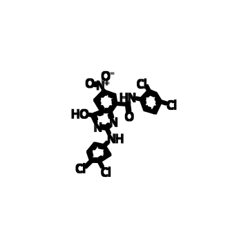 O=C(Nc1ccc(Cl)cc1Cl)c1cc([N+](=O)[O-])cc2c(O)nc(Nc3ccc(Cl)c(Cl)c3)nc12